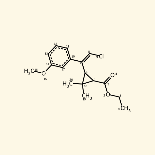 CCOC(=O)C1C(C(=CCl)c2cccc(OC)c2)C1(C)C